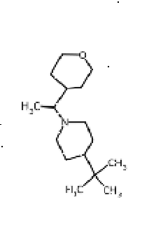 CC(C1CCOCC1)N1CCC(C(C)(C)C)CC1